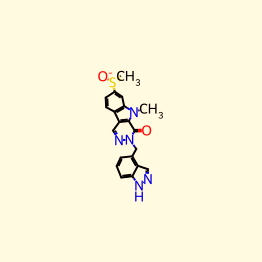 Cn1c2cc([S+](C)[O-])ccc2c2cnn(Cc3cccc4[nH]ncc34)c(=O)c21